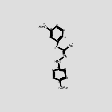 COc1ccc(NN=C(Sc2cccc(OC)c2)C(C)=O)cc1